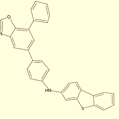 c1ccc(-c2cc(-c3ccc(Nc4ccc5c(c4)sc4ccccc45)cc3)cc3ncoc23)cc1